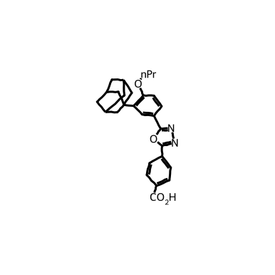 CCCOc1ccc(-c2nnc(-c3ccc(C(=O)O)cc3)o2)cc1C12CC3CC(CC(C3)C1)C2